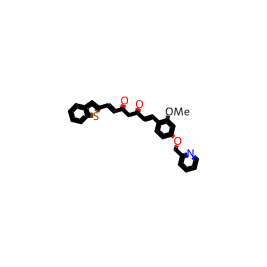 COc1cc(OCc2ccccn2)ccc1/C=C/C(=O)CC(=O)/C=C/c1cc2ccccc2s1